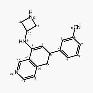 N#Cc1cccc(C2C=C(NC3CNC3)c3cnccc3C2)c1